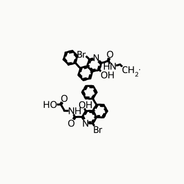 O=C(O)CNC(=O)c1nc(Br)c2cccc(-c3ccccc3)c2c1O.[CH2]CNC(=O)c1nc(Br)c2c(-c3ccccc3)cccc2c1O